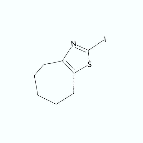 Ic1nc2c(s1)CCCCC2